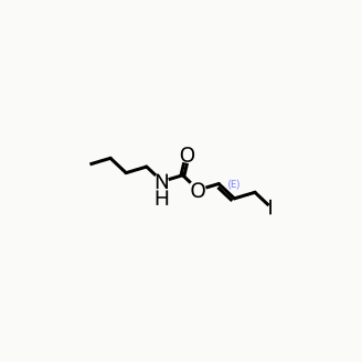 CCCCNC(=O)O/C=C/CI